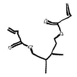 C=CC(=O)OCC(C)C(C)COC(=O)C=C